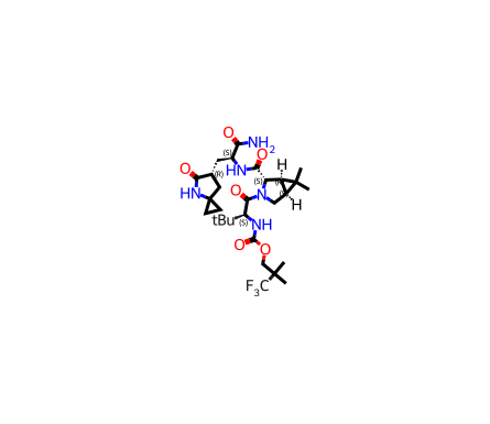 CC(C)(C)[C@H](NC(=O)OCC(C)(C)C(F)(F)F)C(=O)N1C[C@H]2[C@@H]([C@H]1C(=O)N[C@@H](C[C@@H]1CC3(CC3)NC1=O)C(N)=O)C2(C)C